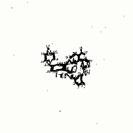 Cc1ccc(NC(=O)c2ccc(CN3CCN(C)CC3)cc2)cc1Nc1nccc(-c2cnccc2C(C)C)n1